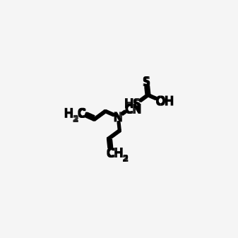 C=CCN(C#N)CC=C.OC(=S)S